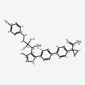 Cc1noc(-c2ccc(-c3ccc(C4(C(=O)O)CC4)cc3)cc2)c1C(O)C(F)(F)CCc1ccc(F)cc1